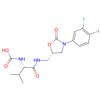 CC(C)[C@H](NC(=O)O)C(=O)NC[C@H]1CN(c2ccc(I)c(F)c2)C(=O)O1